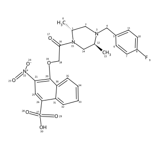 C[C@@H]1CN(Cc2ccc(F)cc2)[C@@H](C)CN1C(=O)COc1c([N+](=O)[O-])cc(S(=O)(=O)O)c2ccccc12